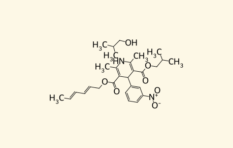 CC(C)CO.CC=CC=CCOC(=O)C1=C(C)NC(C)=C(C(=O)OCC(C)C)C1c1cccc([N+](=O)[O-])c1